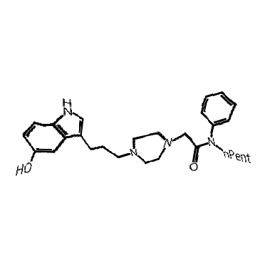 CCCCCN(C(=O)CN1CCN(CCCc2c[nH]c3ccc(O)cc23)CC1)c1ccccc1